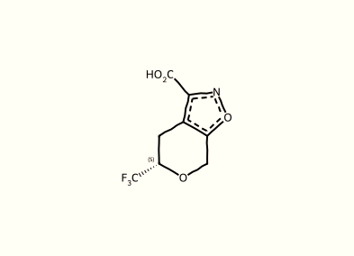 O=C(O)c1noc2c1C[C@@H](C(F)(F)F)OC2